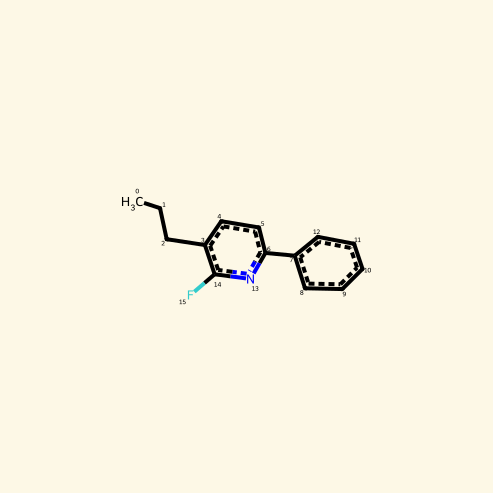 CCCc1ccc(-c2ccccc2)nc1F